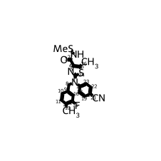 CSNC(=O)c1nc(N(Cc2ccc(C)c(F)c2)c2ccc(C#N)cc2)sc1C